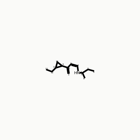 C=C(/C=C\NC(C)CC)C1CC1CC